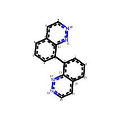 c1cc(-c2cccc3ccnnc23)c2nnccc2c1